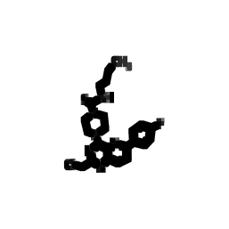 CCCCNC(=S)N1CCN(c2nc(CCl)nc3ccc(-c4ccc(F)cc4)nc23)CC1